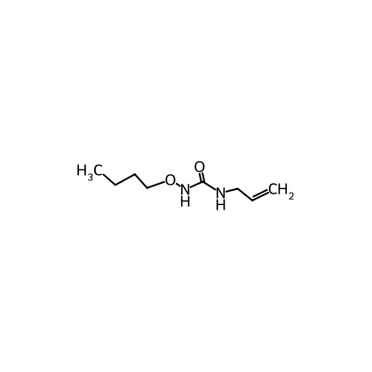 C=CCNC(=O)NOCCCC